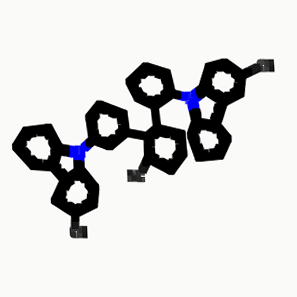 N#Cc1ccc2c(c1)c1ccccc1n2-c1cccc(-c2c(C#N)cccc2-c2ccccc2-n2c3ccccc3c3cc(C#N)ccc32)c1